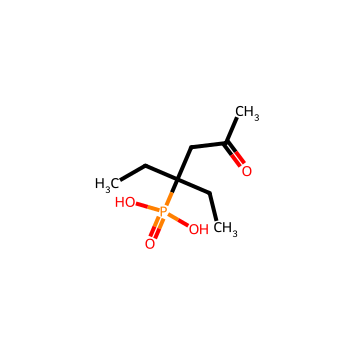 CCC(CC)(CC(C)=O)P(=O)(O)O